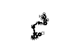 Cc1c(C#Cc2cnn(CCCN3CC(CNc4cccc5c4CN(C4CCC(=O)NC4=O)C5=O)C3)c2)sc2c1C(c1ccc(Cl)cc1)=N[C@@H](C)c1nnc(C)n1-2